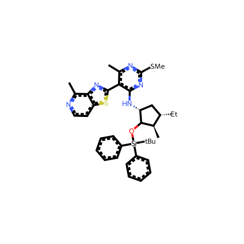 CC[C@H]1C[C@@H](Nc2nc(SC)nc(C)c2-c2nc3c(C)nccc3s2)C(O[Si](c2ccccc2)(c2ccccc2)C(C)(C)C)[C@@H]1C